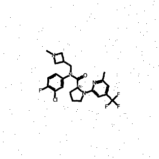 Cc1cc(C(F)(F)F)cc(N2CCC[C@H]2C(=O)N(CC2CN(C)C2)c2ccc(F)c(Cl)c2)n1